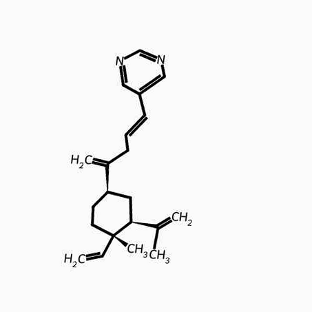 C=C[C@]1(C)CC[C@@H](C(=C)C/C=C/c2cncnc2)C[C@H]1C(=C)C